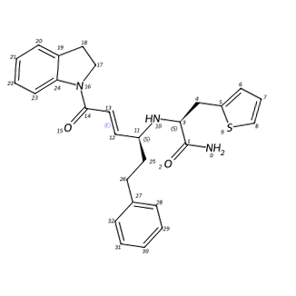 NC(=O)[C@H](Cc1cccs1)N[C@H](/C=C/C(=O)N1CCc2ccccc21)CCc1ccccc1